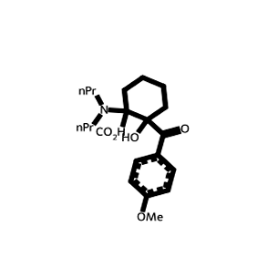 CCCN(CCC)C1(C(=O)O)CCCCC1(O)C(=O)c1ccc(OC)cc1